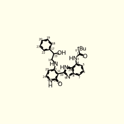 CC(C)(C)C(=O)Nc1cccc2nc(-c3c(NCC(O)c4ccccc4)cc[nH]c3=O)[nH]c12